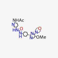 COc1cnc(-c2ccc(NC(=O)Nc3ccc(NC(C)=O)nc3)cc2)nc1N1CCOCC1